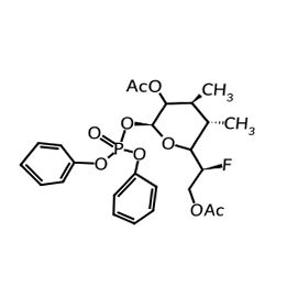 CC(=O)OC[C@H](F)C1O[C@@H](OP(=O)(Oc2ccccc2)Oc2ccccc2)C(OC(C)=O)[C@@H](C)[C@@H]1C